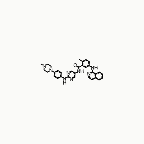 Cc1ccc(Nc2nccc3ccccc23)cc1C(=O)Nc1cnc(Nc2ccc(N3CCN(C)CC3)cc2)nc1